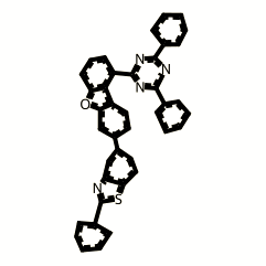 c1ccc(-c2nc(-c3ccccc3)nc(-c3cccc4oc5cc(-c6ccc7sc(-c8ccccc8)nc7c6)ccc5c34)n2)cc1